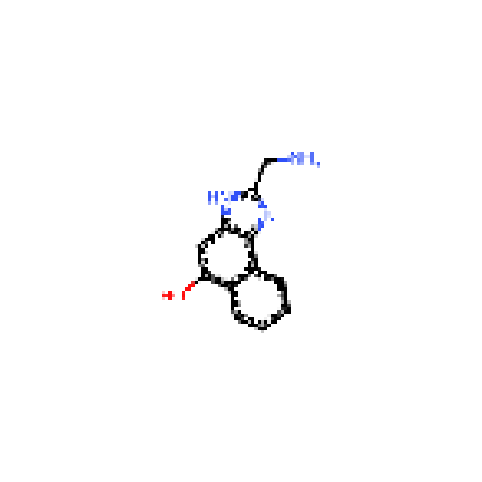 NCc1nc2c(cc(O)c3ccccc32)[nH]1